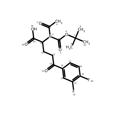 CC(=O)N(C(=O)OC(C)(C)C)C(CCC(=O)c1ccc(F)c(F)c1)C(=O)O